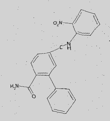 NC(=O)c1ccc(CNc2ccccc2[N+](=O)[O-])cc1-c1ccccc1